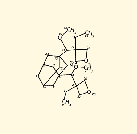 CCC1(C(OC)C23CC4CC(C2)CC(C(OC)C2(CC)COC2)(C4)C3)COC1